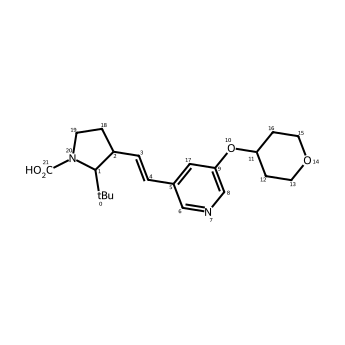 CC(C)(C)C1C(C=Cc2cncc(OC3CCOCC3)c2)CCN1C(=O)O